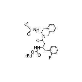 CC(C)(C)OC(=O)N[C@@H](CC(=O)N1Cc2ccccc2C[C@H]1CNC(=O)C1CC1)Cc1ccccc1F